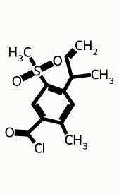 C=CC(C)c1cc(C)c(C(=O)Cl)cc1S(C)(=O)=O